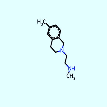 CNCCN1CCc2cc(C)ccc2C1